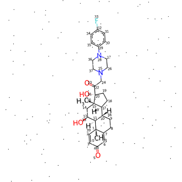 C[C@]12C=CC(=O)C=C1CC[C@@H]1[C@@H]2[C@@H](O)C[C@@]2(C)[C@H]1CC[C@]2(O)C(=O)CN1CCN(c2ccc(F)cc2)CC1